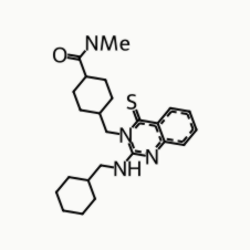 CNC(=O)C1CCC(Cn2c(NCC3CCCCC3)nc3ccccc3c2=S)CC1